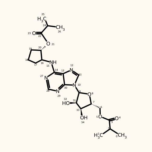 CC(C)C(=O)OC[C@H]1OC(n2cnc3c(NC4CCC[C@@H]4OC(=O)C(C)C)ncnc32)[C@H](O)[C@@H]1O